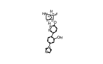 Oc1cc(-n2ccnc2)ccc1-c1ccc(O[C@@H]2[C@H]3CN[C@H](C3)[C@H]2F)nn1